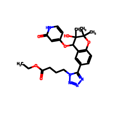 CCOC(=O)CCCn1nnnc1-c1ccc2c(c1)C(Oc1cc[nH]c(=O)c1)C(C)(O)C(C)(C)O2